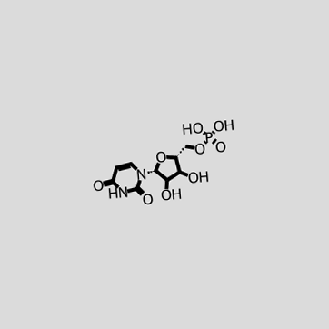 O=c1ccn([C@@H]2O[C@H](COP(=O)(O)O)C(O)C2O)c(=O)[nH]1